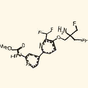 COC(=O)Nc1cc(-c2ccc(OCC(N)(CF)CC(C)C)c(C(F)F)n2)ccn1